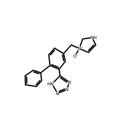 [O-][N+]1(Cc2ccc(-c3ccccc3)c(-c3nnn[nH]3)c2)C=CNC1